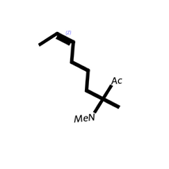 C/C=C\CCCC(C)(NC)C(C)=O